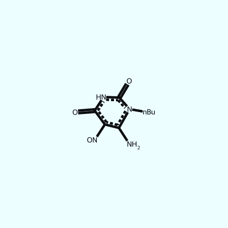 CCCCn1c(N)c(N=O)c(=O)[nH]c1=O